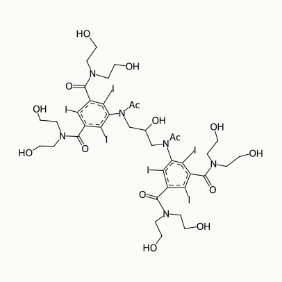 CC(=O)N(CC(O)CN(C(C)=O)c1c(I)c(C(=O)N(CCO)CCO)c(I)c(C(=O)N(CCO)CCO)c1I)c1c(I)c(C(=O)N(CCO)CCO)c(I)c(C(=O)N(CCO)CCO)c1I